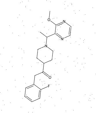 COc1nccnc1C(C)N1CCC(C(=O)Cc2ccccc2F)CC1